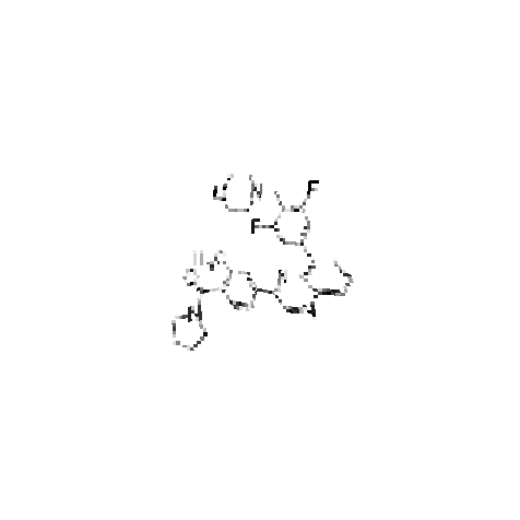 Cc1cc(-c2cnc3cccc(-c4cc(F)c(CN5CCOCC5)c(F)c4)c3n2)ccc1C(=O)N1CCCC1